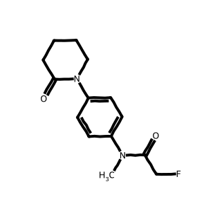 CN(C(=O)CF)c1ccc(N2CCCCC2=O)cc1